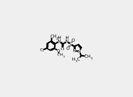 COc1cc(Cl)cc(C)c1NC(=O)NS(=O)(=O)c1ccn(C(C)C)n1